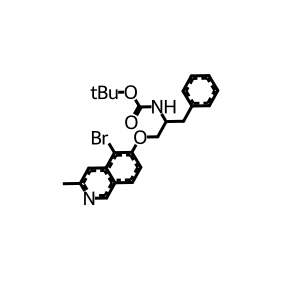 Cc1cc2c(Br)c(OCC(Cc3ccccc3)NC(=O)OC(C)(C)C)ccc2cn1